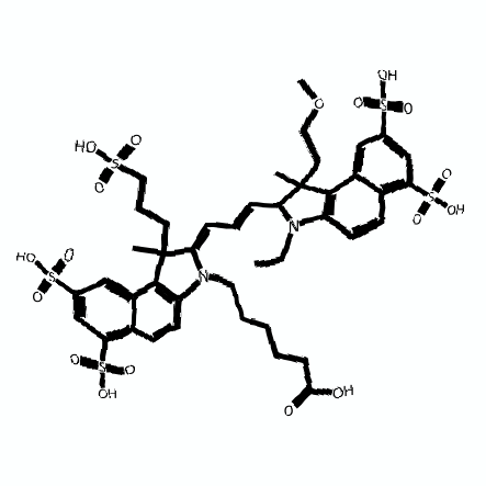 CCN1c2ccc3c(S(=O)(=O)O)cc(S(=O)(=O)O)cc3c2C(C)(CCOC)C1C=CC=C1N(CCCCCC(=O)O)c2ccc3c(S(=O)(=O)O)cc(S(=O)(=O)O)cc3c2C1(C)CCCS(=O)(=O)O